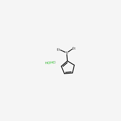 C[CH2][Ti]([CH2]C)[C]1=CC=CC1.Cl.Cl